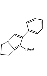 CCCCCc1c(-c2ccccc2)cn2c1CCC2